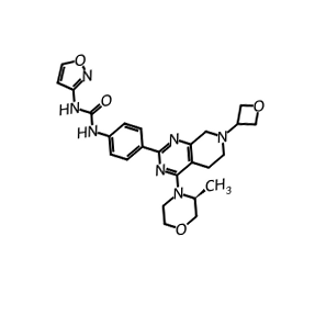 C[C@H]1COCCN1c1nc(-c2ccc(NC(=O)Nc3ccon3)cc2)nc2c1CCN(C1COC1)C2